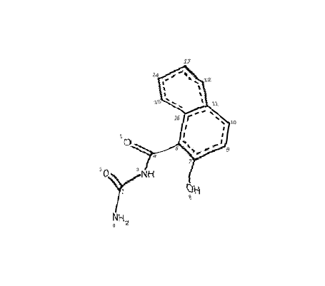 NC(=O)NC(=O)c1c(O)ccc2ccccc12